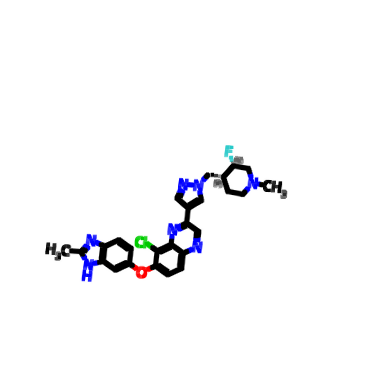 Cc1nc2ccc(Oc3ccc4ncc(-c5cnn(C[C@H]6CCN(C)C[C@H]6F)c5)nc4c3Cl)cc2[nH]1